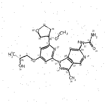 CO[C@@]1(c2cc(OC[C@@H](C)O)cc(-n3nc(C)c4cnc(NC(N)=O)cc43)n2)CCOC1